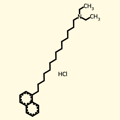 CCN(CC)CCCCCCCCCCCCCCc1cccc2ccccc12.Cl